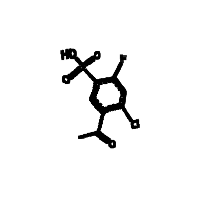 CC(=O)c1cc(S(=O)(=O)O)c(F)cc1Cl